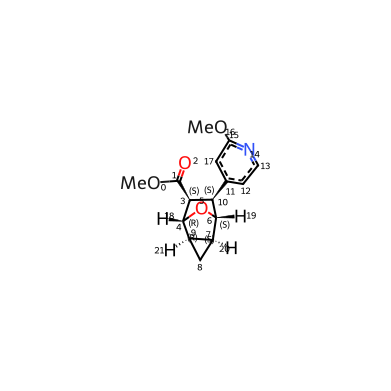 COC(=O)[C@@H]1[C@@H]2O[C@@H]([C@H]3C[C@H]32)[C@@H]1c1ccnc(OC)c1